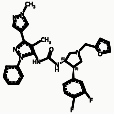 Cc1c(-c2cnn(C)c2)nn(-c2ccccc2)c1NC(=O)N[C@@H]1CN(Cc2ccco2)C[C@H]1c1ccc(F)c(F)c1